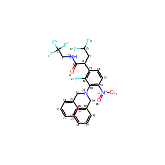 O=C(NCC(F)(F)F)C(CC(F)F)c1ccc([N+](=O)[O-])c(N(Cc2ccccc2)Cc2ccccc2)c1F